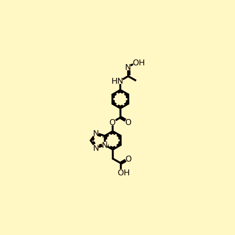 C/C(=N\O)Nc1ccc(C(=O)Oc2ccc(CC(=O)O)n3ncnc23)cc1